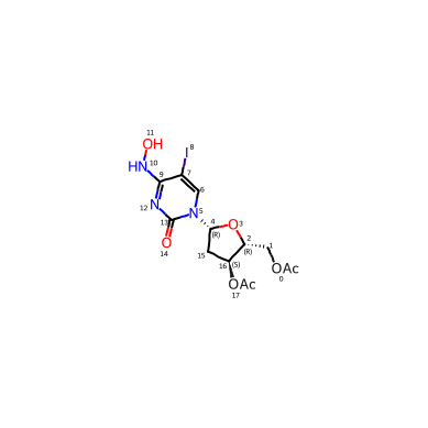 CC(=O)OC[C@H]1O[C@@H](n2cc(I)c(NO)nc2=O)C[C@@H]1OC(C)=O